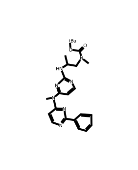 CC(CN(C)C(=O)OC(C)(C)C)Nc1nccc(N(C)c2ccnc(-c3ccccc3)n2)n1